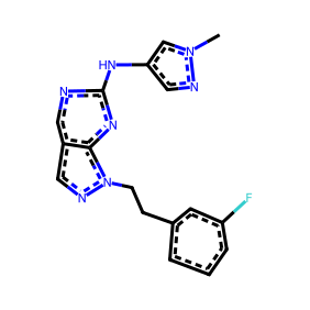 Cn1cc(Nc2ncc3cnn(CCc4cccc(F)c4)c3n2)cn1